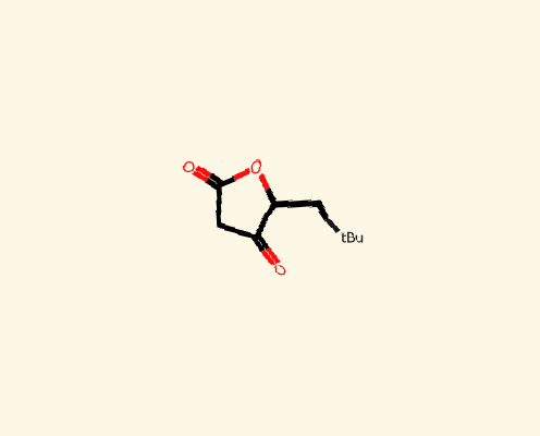 CC(C)(C)CC1OC(=O)CC1=O